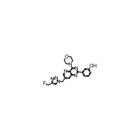 Oc1cccc(-c2nc(N3CCOCC3)c3ncc(Cn4cc(CF)nn4)cc3n2)c1